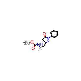 C[C@@H](CC1=NN(c2ccccc2)C(=O)C1)NC(=O)OC(C)(C)C